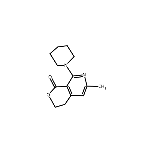 Cc1cc2c(c(N3CCCCC3)n1)C(=O)OCC2